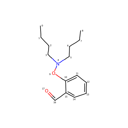 CCCCN(CCCC)Oc1ccccc1C=O